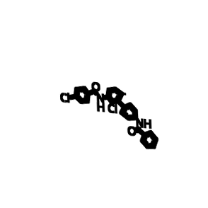 O=C(Nc1ccc(-c2[c]ccc(NC(=O)c3ccc(Cl)cc3)c2Cl)cc1)c1ccccc1